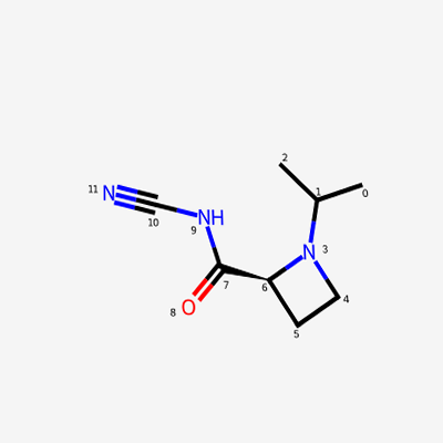 CC(C)N1CC[C@H]1C(=O)NC#N